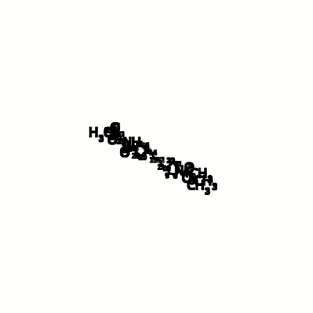 CC(C)(C)OC(=O)N1CCC(CCCCc2ccc(C(=O)NCCS(C)(=O)=O)cc2)CC1